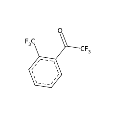 O=C(c1ccccc1C(F)(F)F)C(F)(F)F